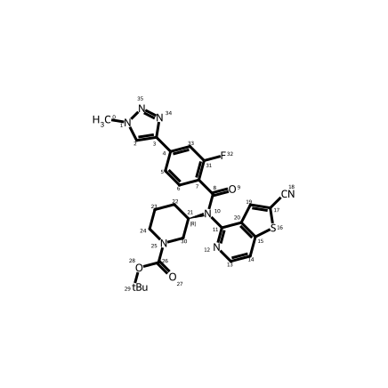 Cn1cc(-c2ccc(C(=O)N(c3nccc4sc(C#N)cc34)[C@@H]3CCCN(C(=O)OC(C)(C)C)C3)c(F)c2)nn1